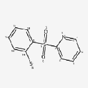 O=S(=O)(c1ccccn1)c1ccccc1[S]